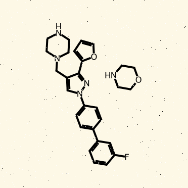 C1COCCN1.Fc1cccc(-c2ccc(-n3cc(CN4CCNCC4)c(-c4ccco4)n3)cc2)c1